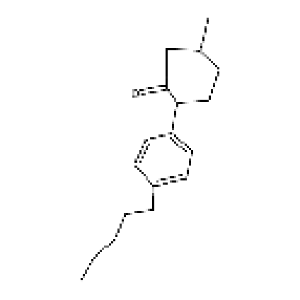 CCCCCc1ccc(C2CCC(C)CC2=O)cc1